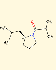 CC(C)C[C@@H]1CCCN1C(=O)C(C)C